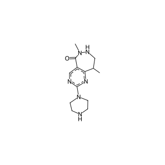 CC1CNN(C)C(=O)c2cnc(N3CCNCC3)nc21